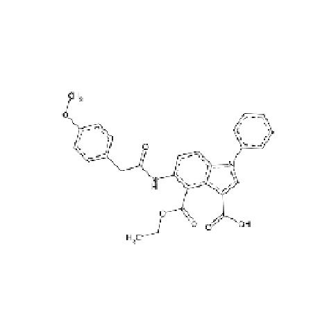 CCOC(=O)c1c(NC(=O)Cc2ccc(OC)cc2)ccc2c1c(C(=O)O)cn2-c1ccccc1